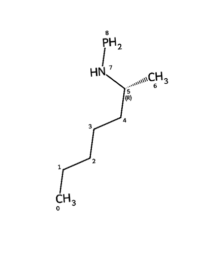 CCCCC[C@@H](C)NP